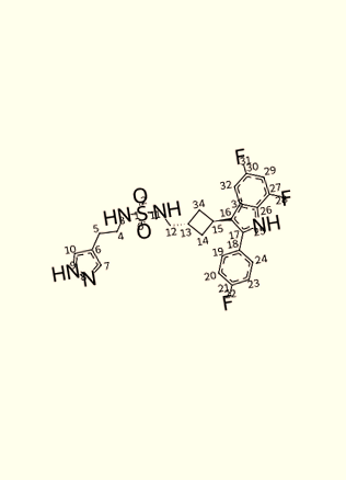 O=S(=O)(NCCc1cn[nH]c1)NC[C@H]1C[C@H](c2c(-c3ccc(F)cc3)[nH]c3c(F)cc(F)cc32)C1